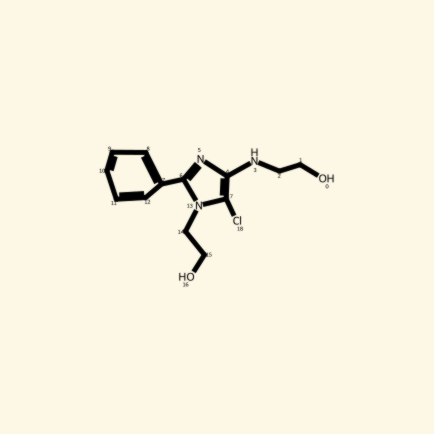 OCCNc1nc(-c2ccccc2)n(CCO)c1Cl